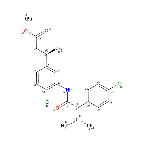 C[C@H]([C@H](C(=O)Nc1cc([C@@H](CC(=O)OC(C)(C)C)C(F)(F)F)ccc1Cl)c1ccc(Cl)cc1)C(F)(F)F